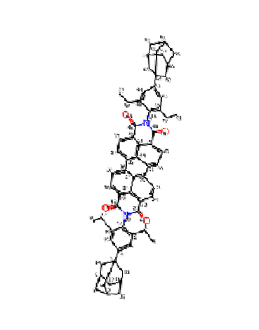 CCc1cc(C23CC4CC(CC(C4)C2)C3)cc(CC)c1N1C(=O)c2ccc3c4ccc5c6c(ccc(c7ccc(c2c37)C1=O)c64)C(=O)N(c1c(CC)cc(C23CC4CC(CC(C4)C2)C3)cc1CC)C5=O